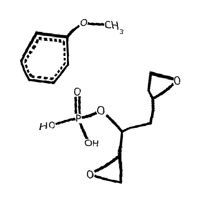 COc1ccccc1.O=P(O)(O)OC(CC1CO1)C1CO1